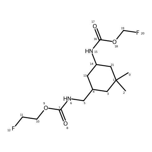 CC1(C)CC(CNC(=O)OCCF)CC(NC(=O)OCF)C1